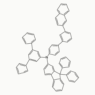 c1ccc(-c2cc(-c3ccccc3)cc(N(c3ccc(-c4cccc(-c5ccc6ccccc6c5)c4)cc3)c3ccc4c(c3)C(c3ccccc3)(c3ccccc3)c3ccccc3-4)c2)cc1